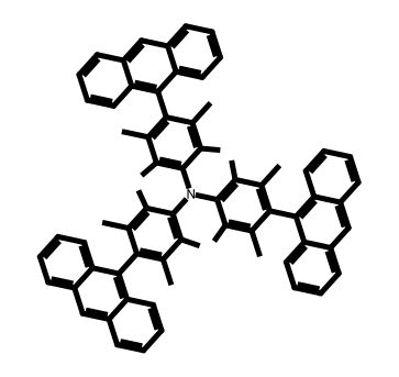 Cc1c(C)c(N(c2c(C)c(C)c(-c3c4ccccc4cc4ccccc34)c(C)c2C)c2c(C)c(C)c(-c3c4ccccc4cc4ccccc34)c(C)c2C)c(C)c(C)c1-c1c2ccccc2cc2ccccc12